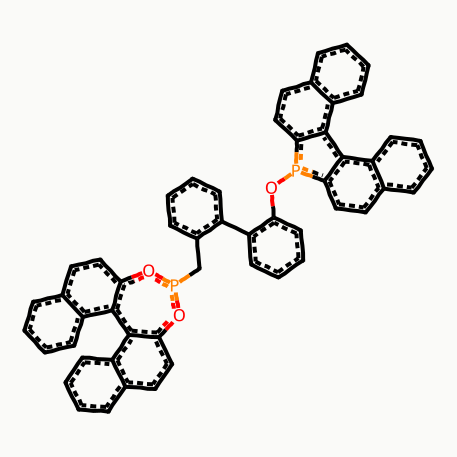 c1ccc(-c2ccccc2Op2c3ccc4ccccc4c3c3c4ccccc4ccc32)c(Cp2oc3ccc4ccccc4c3c3c(ccc4ccccc43)o2)c1